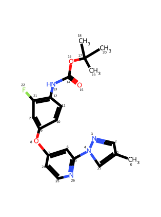 Cc1cnn(-c2cc(Oc3ccc(NC(=O)OC(C)(C)C)c(F)c3)ccn2)c1